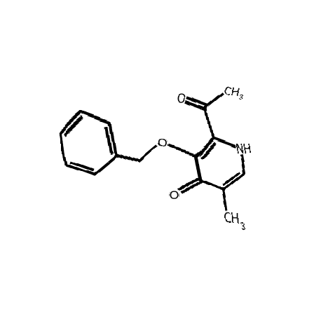 CC(=O)c1[nH]cc(C)c(=O)c1OCc1ccccc1